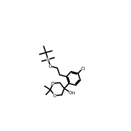 CC1(C)OCC(O)(c2ccc(Cl)cc2CCO[Si](C)(C)C(C)(C)C)CO1